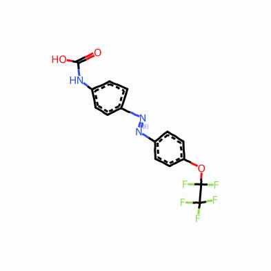 O=C(O)Nc1ccc(/N=N/c2ccc(OC(F)(F)C(F)(F)F)cc2)cc1